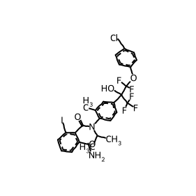 Cc1cc(C(O)(C(F)(F)F)C(F)(F)Oc2ccc(Cl)cc2)ccc1N(C(=O)c1c(I)cccc1C(N)=O)C(C)C